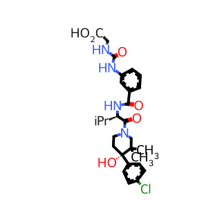 CC(C)[C@@H](NC(=O)c1cccc(NC(=O)NCC(=O)O)c1)C(=O)N1CC[C@](O)(c2ccc(Cl)cc2)C(C)(C)C1